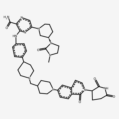 CN1CCN([C@@H]2CCCN(c3cnc(C(N)=O)c(Nc4ccc(C5CCN(CC6CCN(c7ccc8c(=O)n(C9CCC(=O)NC9=O)ccc8c7)CC6)CC5)cc4)n3)C2)C1=O